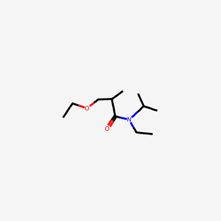 CCOCC(C)C(=O)N(CC)C(C)C